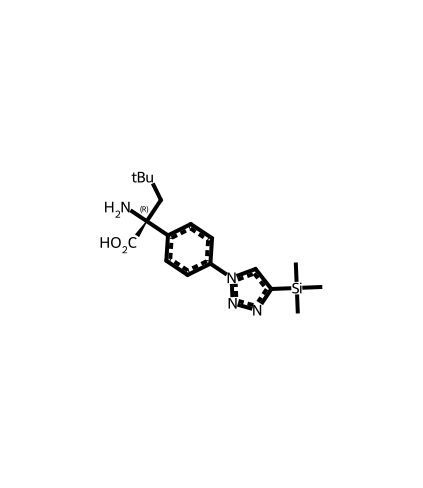 CC(C)(C)C[C@](N)(C(=O)O)c1ccc(-n2cc([Si](C)(C)C)nn2)cc1